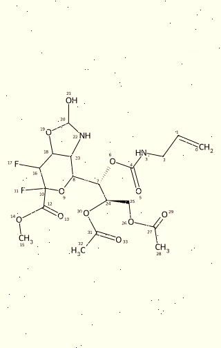 C=CCNC(=O)O[C@@H](C1OC(F)(C(=O)OC)C(F)C2OC(O)NC21)[C@@H](COC(C)=O)OC(C)=O